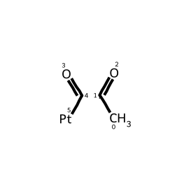 C[C]=O.O=[CH][Pt]